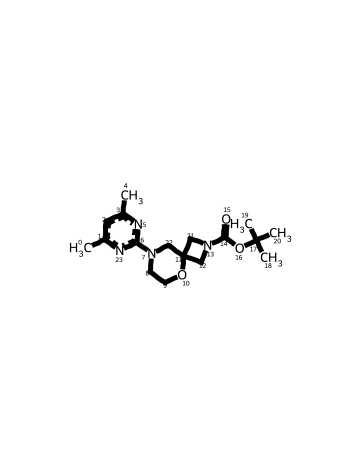 Cc1cc(C)nc(N2CCOC3(CN(C(=O)OC(C)(C)C)C3)C2)n1